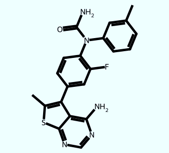 Cc1cccc(N(C(N)=O)c2ccc(-c3c(C)sc4ncnc(N)c34)cc2F)c1